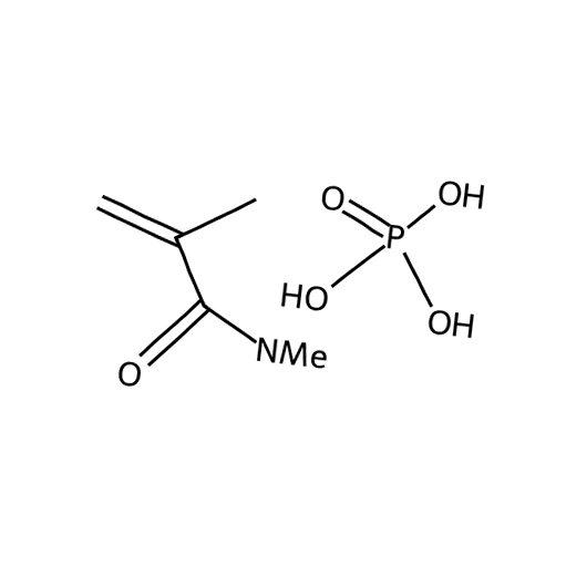 C=C(C)C(=O)NC.O=P(O)(O)O